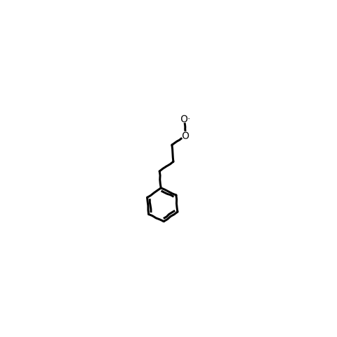 [O]OCCCc1ccccc1